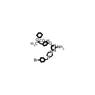 CC(Cc1ccc(Oc2cc(N3CCN(Cc4ccc(Br)cc4)CC3)nc(N)n2)cc1)(Oc1ccccc1)C(=O)O